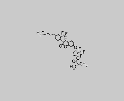 C=C(C)C(=O)OC1CCC(Oc2ccc3cc(-c4ccc(CCCCC)cc4C(F)(F)F)c(=O)oc3c2)C1C(F)(F)F